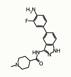 CN1CCC(C(=O)Nc2n[nH]c3ccc(-c4ccc(N)c(F)c4)cc23)CC1